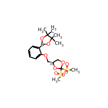 CC1(C)OB(c2ccccc2OC[C@H]2COC(S(C)(=O)=O)(S(C)(=O)=O)O2)OC1(C)C